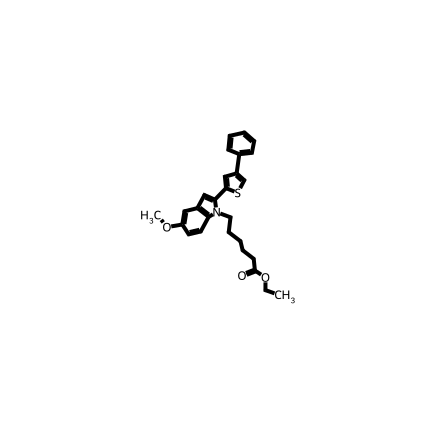 CCOC(=O)CCCCCn1c(-c2cc(-c3ccccc3)cs2)cc2cc(OC)ccc21